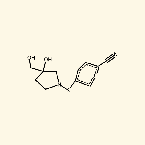 N#Cc1ccc(SN2CCC(O)(CO)C2)cc1